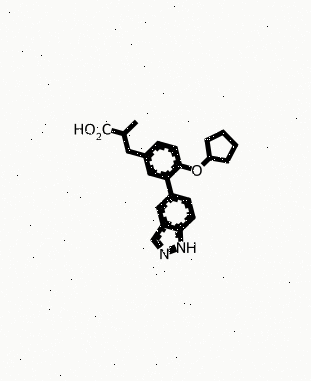 CC(Cc1ccc(OC2CCCC2)c(-c2ccc3[nH]ncc3c2)c1)C(=O)O